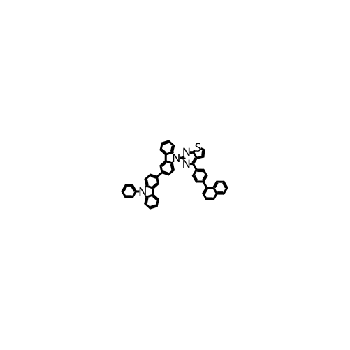 c1ccc(-n2c3ccccc3c3cc(-c4ccc5c(c4)c4ccccc4n5-c4nc(-c5ccc(-c6cccc7ccccc67)cc5)c5ccsc5n4)ccc32)cc1